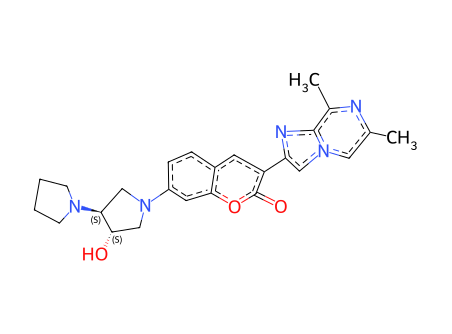 Cc1cn2cc(-c3cc4ccc(N5C[C@H](O)[C@@H](N6CCCC6)C5)cc4oc3=O)nc2c(C)n1